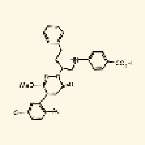 COc1nn([C@@H](CCc2ccccc2)CNc2ccc(C(=O)O)cc2)c(=O)cc1-c1cc(Cl)ccc1C(C)=O